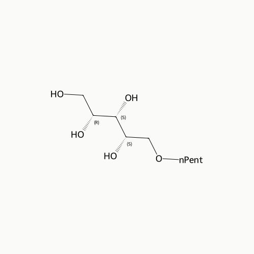 CCCCCOC[C@H](O)[C@@H](O)[C@H](O)CO